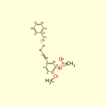 COc1ccc(C#CCCSCc2ccccc2)cc1OC(C)=O